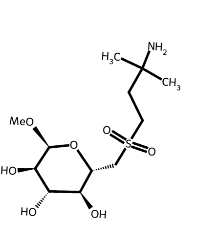 CO[C@H]1O[C@H](CS(=O)(=O)CCC(C)(C)N)[C@@H](O)[C@H](O)[C@H]1O